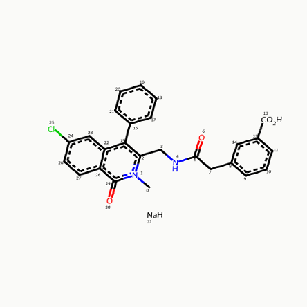 Cn1c(CNC(=O)Cc2cccc(C(=O)O)c2)c(-c2ccccc2)c2cc(Cl)ccc2c1=O.[NaH]